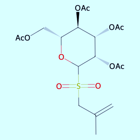 C=C(C)CS(=O)(=O)C1O[C@H](COC(C)=O)[C@@H](OC(C)=O)[C@H](OC(C)=O)[C@@H]1OC(C)=O